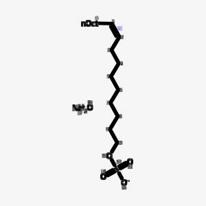 CCCCCCCC/C=C\CCCCCCCCOS(=O)(=O)[O-].O.[Na+]